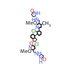 COc1nc(O[C@H]2CCc3c(-c4cccc(-c5cc(C)c(CNC[C@@H]6CCC(=O)N6)c(OC)n5)c4Cl)cccc32)c(Cl)cc1CNC[C@@H]1CCC(=O)N1